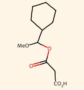 COC(OC(=O)CC(=O)O)C1CCCCC1